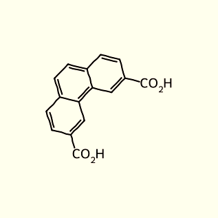 O=C(O)c1ccc2ccc3ccc(C(=O)O)cc3c2c1